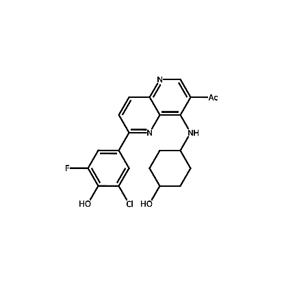 CC(=O)c1cnc2ccc(-c3cc(F)c(O)c(Cl)c3)nc2c1NC1CCC(O)CC1